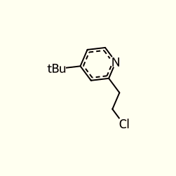 CC(C)(C)c1ccnc(CCCl)c1